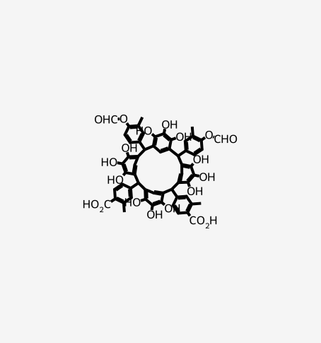 Cc1cc(C2c3cc(c(O)c(O)c3O)C(c3ccc(OC=O)c(C)c3)c3cc(c(O)c(O)c3O)C(c3ccc(C(=O)O)c(C)c3)c3cc(c(O)c(O)c3O)C(c3ccc(C(=O)O)c(C)c3)c3cc2c(O)c(O)c3O)ccc1OC=O